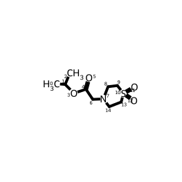 CC(C)OC(=O)CN1CCS(=O)(=O)CC1